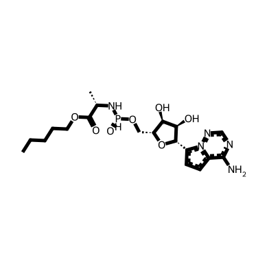 CCCCCOC(=O)[C@H](C)N[PH](=O)OC[C@H]1O[C@@H](c2ccc3c(N)ncnn23)[C@H](O)[C@@H]1O